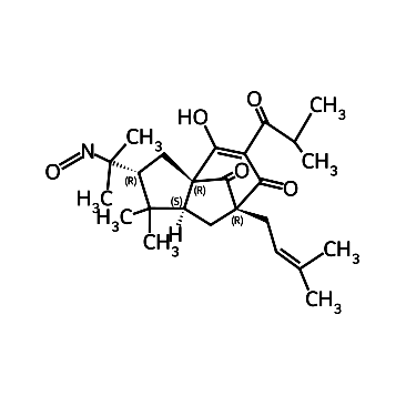 CC(C)=CC[C@@]12C[C@H]3C(C)(C)[C@H](C(C)(C)N=O)C[C@]3(C1=O)C(O)=C(C(=O)C(C)C)C2=O